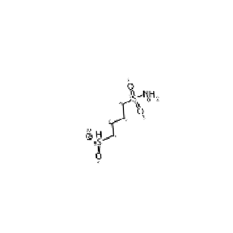 NS(=O)(=O)CCCC[SH](=O)=O